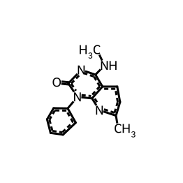 CNc1nc(=O)n(-c2ccccc2)c2nc(C)ccc12